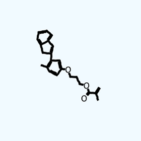 C=C(C)C(=O)OCCCOc1ccc(C)c(C2=Cc3ccccc3C2)c1